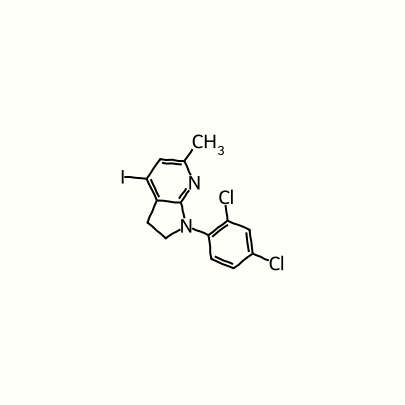 Cc1cc(I)c2c(n1)N(c1ccc(Cl)cc1Cl)CC2